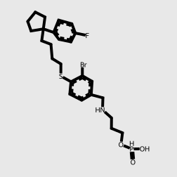 O=[PH](O)OCCCNCc1ccc(SCCCCC2(c3ccc(F)cc3)CCCC2)c(Br)c1